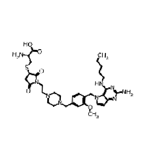 CCCCCNc1nc(N)nc2ccn(Cc3ccc(CN4CCN(CCN5C(=O)CC(SC[C@@H](N)C(=O)O)C5=O)CC4)cc3OC)c12